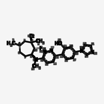 CC[C@]1(C)CC(C)CC[C@H](N(C)c2ccc(-c3ccc(-n4ccnc4)cc3O)nn2)[C@H]1F